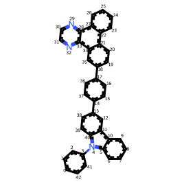 c1ccc(-n2c3ccccc3c3cc(-c4ccc(-c5ccc6c7ccccc7c7nccnc7c6c5)cc4)ccc32)cc1